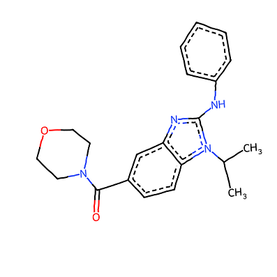 CC(C)n1c(Nc2ccccc2)nc2cc(C(=O)N3CCOCC3)ccc21